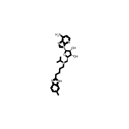 Cc1ccc2nc(CCCCN(C[C@H]3O[C@@H](n4cnc5c(N)ccnc54)[C@H](O)[C@@H]3O)C(C)C)[nH]c2c1